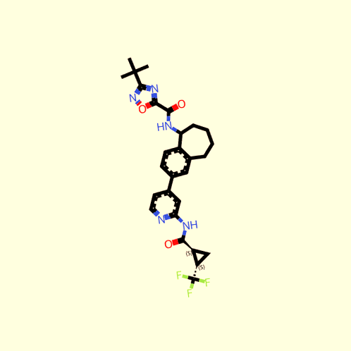 CC(C)(C)c1noc(C(=O)NC2CCCCc3cc(-c4ccnc(NC(=O)[C@H]5C[C@@H]5C(F)(F)F)c4)ccc32)n1